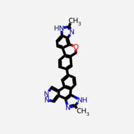 Cc1nc2c3c(ccc2[nH]1)-c1ccc(-c2ccc4c(c2)c2cnncc2c2nc(C)[nH]c42)cc1CO3